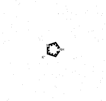 [K+].c1c[nH]cn1